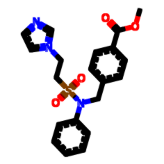 COC(=O)c1ccc(CN(c2ccccc2)S(=O)(=O)CCn2ccnc2)cc1